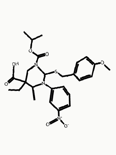 CCC1(C(=O)O)CN(C(=O)OC(C)C)C(SCc2ccc(OC)cc2)N(c2cccc([N+](=O)[O-])c2)C1C